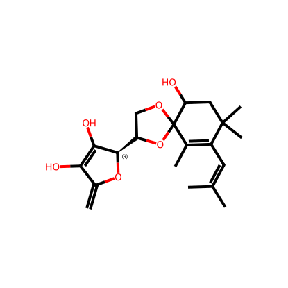 C=C1O[C@H](C2COC3(O2)C(C)=C(C=C(C)C)C(C)(C)CC3O)C(O)=C1O